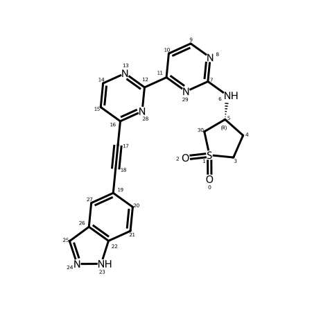 O=S1(=O)CC[C@@H](Nc2nccc(-c3nccc(C#Cc4ccc5[nH]ncc5c4)n3)n2)C1